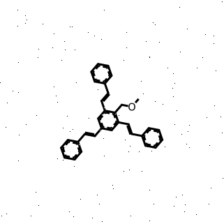 COCc1c(C=Cc2ccccc2)cc(C=Cc2ccccc2)cc1C=Cc1ccccc1